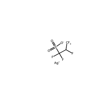 O=S(=O)([O-])C(F)(F)C(F)C(F)(F)F.[Ag+]